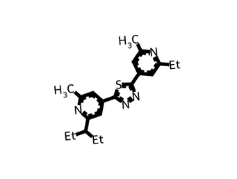 CCc1cc(-c2nnc(-c3cc(C)nc(C(CC)CC)c3)s2)cc(C)n1